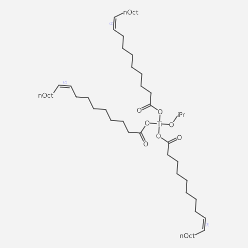 CCCCCCCC/C=C\CCCCCCCC(=O)[O][Ti]([O]C(=O)CCCCCCC/C=C\CCCCCCCC)([O]C(=O)CCCCCCC/C=C\CCCCCCCC)[O]C(C)C